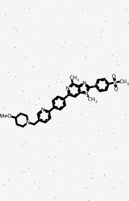 COC1CCN(Cc2ccc(-c3ccc(-c4cc5c(nc(-c6ccc(S(C)(=O)=O)cc6)n5C)c(C)n4)cc3)nc2)CC1